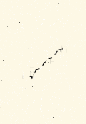 CC(C)NCCOCCNCCOCCCNC(=O)C(C)C